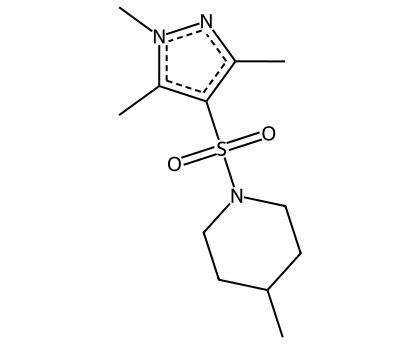 Cc1nn(C)c(C)c1S(=O)(=O)N1CCC(C)CC1